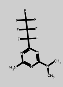 CN(C)c1nc(N)nc(C(F)(F)C(F)(F)C(F)(F)I)n1